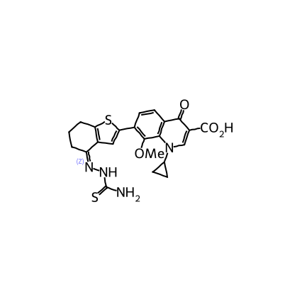 COc1c(-c2cc3c(s2)CCC/C3=N/NC(N)=S)ccc2c(=O)c(C(=O)O)cn(C3CC3)c12